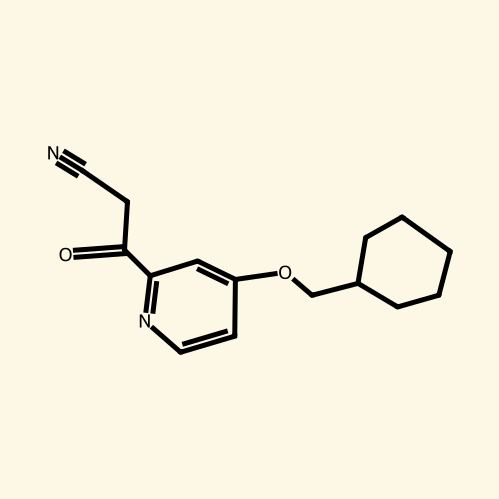 N#CCC(=O)c1cc(OCC2CCCCC2)ccn1